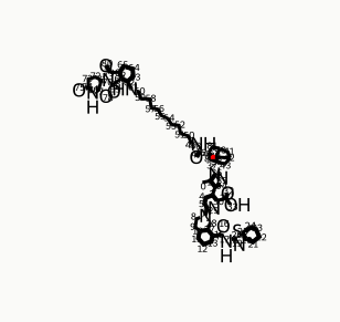 Cc1c(-c2ccc(N3CCc4cccc(C(=O)Nc5nc6ccccc6s5)c4C3)nc2C(=O)O)cnn1C[C@]12CC3CC(C1)C[C@](C(=O)NCCCCCCCCCCCCNc1cccc4c1C(=O)N(C1CCC(=O)NC1=O)C4=O)(C3)C2